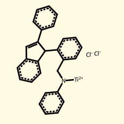 [Cl-].[Cl-].[Ti+2][N](Cc1ccccc1C1C(c2ccccc2)=Cc2ccccc21)c1ccccc1